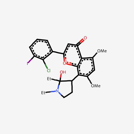 CCN1CCC(c2c(OC)cc(OC)c3c(=O)cc(-c4cccc(I)c4Cl)oc23)C1(O)CC